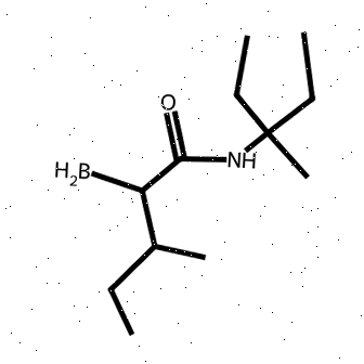 BC(C(=O)NC(C)(CC)CC)C(C)CC